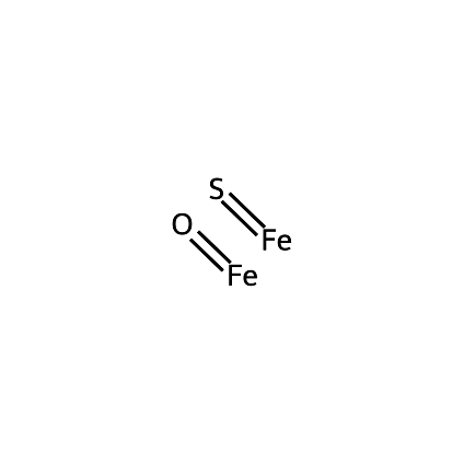 [O]=[Fe].[S]=[Fe]